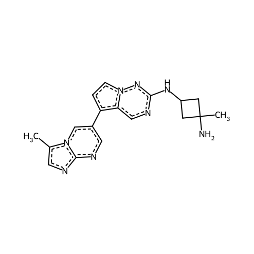 Cc1cnc2ncc(-c3ccn4nc(NC5CC(C)(N)C5)ncc34)cn12